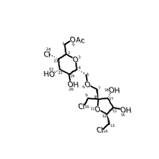 CC(=O)OCC1O[C@H](COC[C@]2(CCl)O[C@H](CCl)C(O)[C@H]2O)C(O)[C@H](O)[C@@H]1Cl